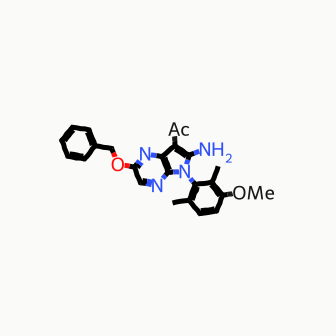 COc1ccc(C)c(-n2c(N)c(C(C)=O)c3nc(OCc4ccccc4)cnc32)c1C